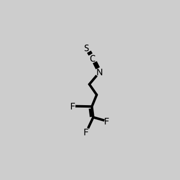 FC(F)=C(F)CCN=C=S